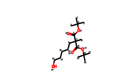 CC(C)(C)OC(=O)C(C)(CCCCCO)C(=O)OC(C)(C)C